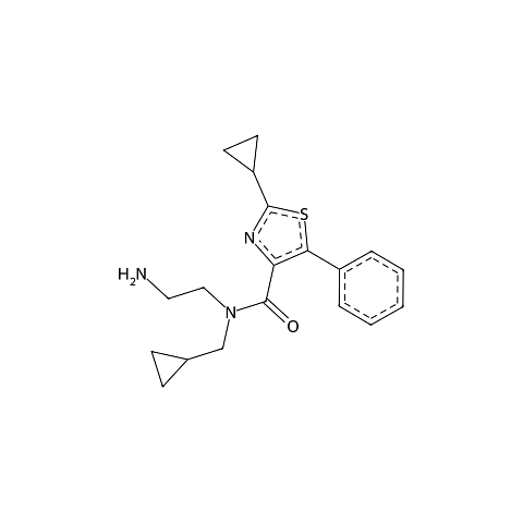 NCCN(CC1CC1)C(=O)c1nc(C2CC2)sc1-c1ccccc1